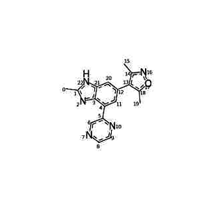 Cc1nc2c(-c3cnccn3)cc(-c3c(C)noc3C)cc2[nH]1